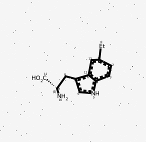 CCc1ccc2[nH]cc(C[C@H](N)C(=O)O)c2c1